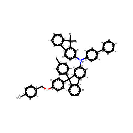 CCC(C)c1ccc(COc2ccc(C3(c4ccc(C)cc4)c4ccccc4-c4ccc(N(c5ccc(-c6ccccc6)cc5)c5ccc6c(c5)C(C)(C)c5ccccc5-6)cc43)cc2)cc1